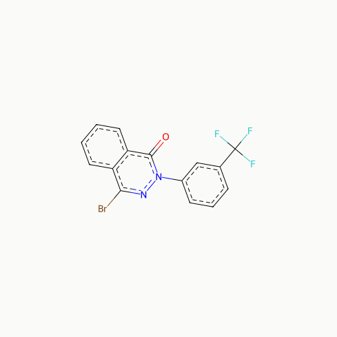 O=c1c2ccccc2c(Br)nn1-c1cccc(C(F)(F)F)c1